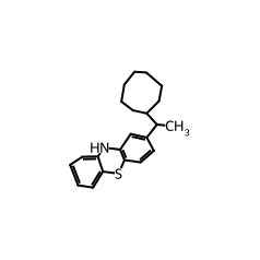 CC(c1ccc2c(c1)Nc1ccccc1S2)C1CCCCCCC1